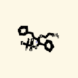 NCCO/C(CCc1ccccc1)=C(/OS(=O)(=O)C(F)(F)F)c1ccccc1